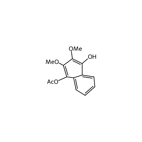 COc1c(OC)c(OC(C)=O)c2ccccc2c1O